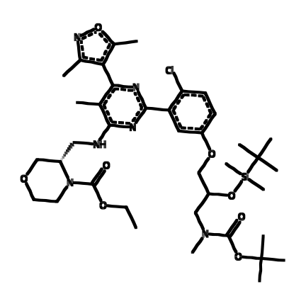 CCOC(=O)N1CCOC[C@@H]1CNc1nc(-c2cc(OCC(CN(C)C(=O)OC(C)(C)C)O[Si](C)(C)C(C)(C)C)ccc2Cl)nc(-c2c(C)noc2C)c1C